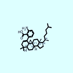 CC(C)CCC[C@@H](C)[C@H]1CC[C@@]2(C)[C@@H]3CC[C@H]4C(C)(C)CC=C(c5cccc(N)c5C(=O)O)[C@@]45C[C@@]35CC[C@]12C